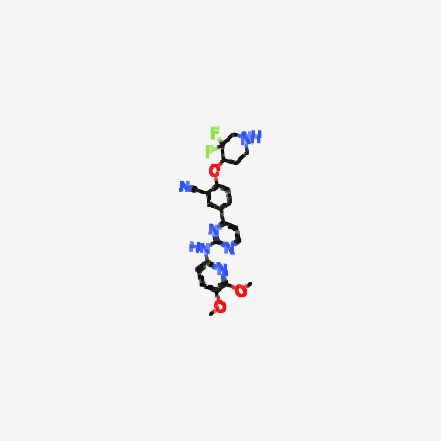 COc1ccc(Nc2nccc(-c3ccc(OC4CCNCC4(F)F)c(C#N)c3)n2)nc1OC